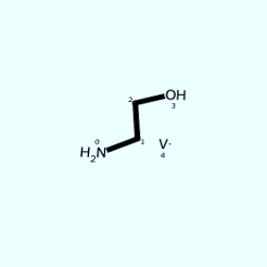 NCCO.[V]